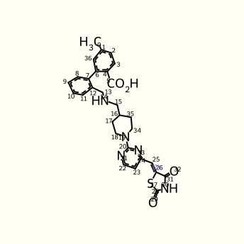 Cc1ccc(C(=O)O)c(-c2ccccc2CNCC2CCN(c3nccc(/C=C4\SC(=O)NC4=O)n3)CC2)c1